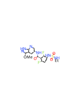 CCNS(=O)(=O)Nc1ccc(F)c(C(=O)Nc2cnc3[nH]nc(OC)c3c2)c1F